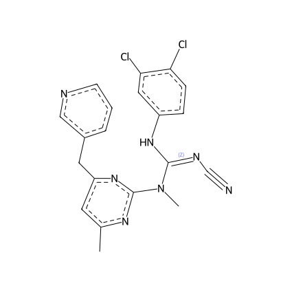 Cc1cc(Cc2cccnc2)nc(N(C)/C(=N\C#N)Nc2ccc(Cl)c(Cl)c2)n1